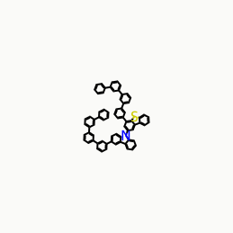 c1ccc(-c2cccc(-c3cccc(-c4cccc(-c5ccc6c(c5)c5ccccc5n6-c5cc(-c6cccc(-c7cccc(-c8cccc(-c9ccccc9)c8)c7)c6)c6sc7ccccc7c6c5)c4)c3)c2)cc1